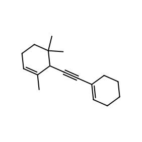 CC1=CCCC(C)(C)C1C#CC1=CCCCC1